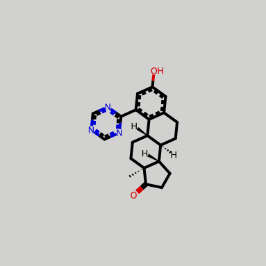 C[C@]12CC[C@@H]3c4c(cc(O)cc4-c4ncncn4)CC[C@H]3[C@@H]1CCC2=O